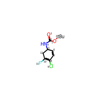 CC(C)(C)OC(=O)NC1C=CC(Cl)=C(F)C1